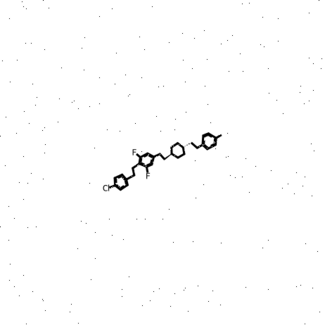 Cc1ccc(CC[C@H]2CC[C@H](CCc3cc(F)c(CCc4ccc(Cl)cc4)c(F)c3)CC2)cc1